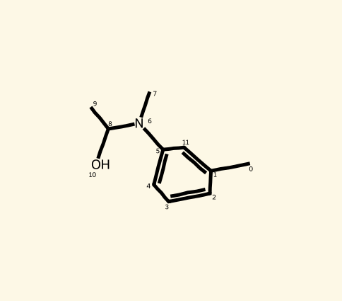 Cc1cccc(N(C)C(C)O)c1